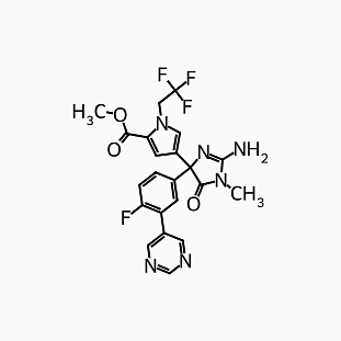 COC(=O)c1cc(C2(c3ccc(F)c(-c4cncnc4)c3)N=C(N)N(C)C2=O)cn1CC(F)(F)F